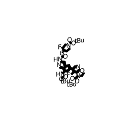 Cc1c(-c2cc3cc(NC(=O)O[C@@H]4CCN(C(=O)OC(C)(C)C)C[C@@H]4F)ncc3c(NC(=O)OC(C)(C)C)c2F)cnc2c1N(C(=O)OC(C)(C)C)CCO2